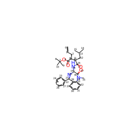 C=CC[C@H](C(=O)OC(C)(C)C)[C@@H](CC(C)C)C(=O)NC1N=C(c2ccccc2)c2ccccc2N(C)C1=O